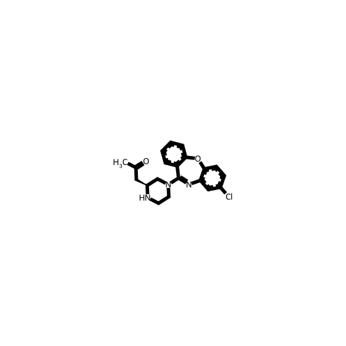 CC(=O)C[C@H]1CN(C2=Nc3cc(Cl)ccc3Oc3ccccc32)CCN1